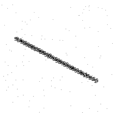 S=S=S=S=S=S=S=S=S=S=S=S=S=S=S=S=S=S=S=S=S=S=S=S=S=S=S=S=S=S=S=S=S=S=S=S=S=S=S=S=S=S=S=S=S=S=S=S=S=S=S=S=S=S=S=S=S=S=S=S